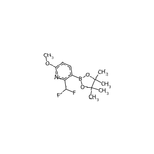 COc1ccc(B2OC(C)(C)C(C)(C)O2)c(C(F)F)n1